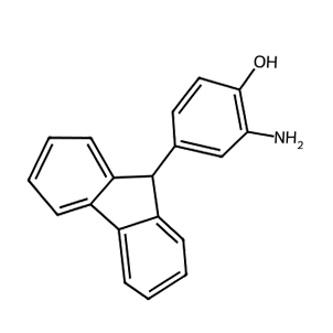 Nc1cc(C2c3ccccc3-c3ccccc32)ccc1O